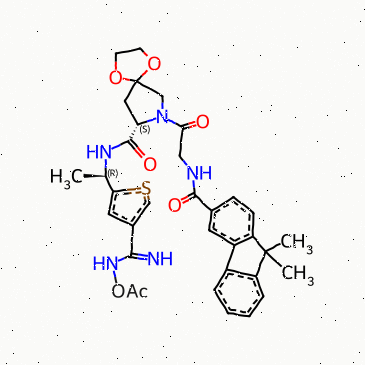 CC(=O)ONC(=N)c1csc([C@@H](C)NC(=O)[C@@H]2CC3(CN2C(=O)CNC(=O)c2ccc4c(c2)-c2ccccc2C4(C)C)OCCO3)c1